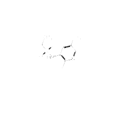 CCS(=O)(=O)Nc1cc(C)cnc1F